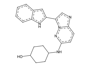 OC1CCC(Nc2ccc3ncc(-c4cc5ccccc5[nH]4)n3n2)CC1